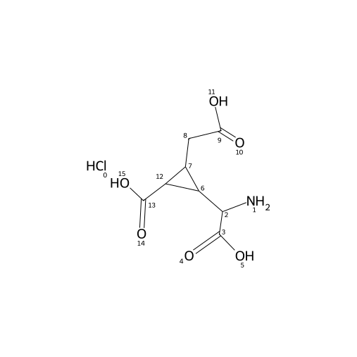 Cl.NC(C(=O)O)C1C(CC(=O)O)C1C(=O)O